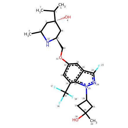 CC1C[C@@](O)(C(C)C)C[C@@H](COc2cc(C(F)(F)F)c3c(c2)c(F)nn3C2CC(C)(O)C2)N1